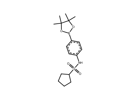 CC1(C)OB(c2ccc(NS(=O)(=O)C3CCCC3)cc2)OC1(C)C